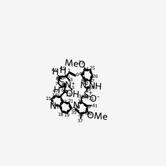 C=C[C@H]1C[N+]2(C)CC[C@H]1C[C@H]2[C@H](O)c1ccnc2ccccc12.COc1ccc2[nH]c([S@+]([O-])Cc3ncc(C)c(OC)c3C)nc2c1